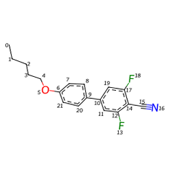 CCCCCOc1ccc(-c2cc(F)c(C#N)c(F)c2)cc1